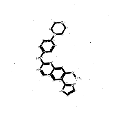 COc1cc2nc(Nc3ccc(N4CCOCC4)cc3)ncc2cc1-c1nccs1